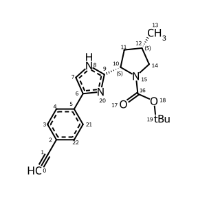 C#Cc1ccc(-c2c[nH]c([C@@H]3C[C@H](C)CN3C(=O)OC(C)(C)C)n2)cc1